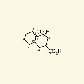 O=C(O)C1CCC2(C(=O)O)CCCCC2C1